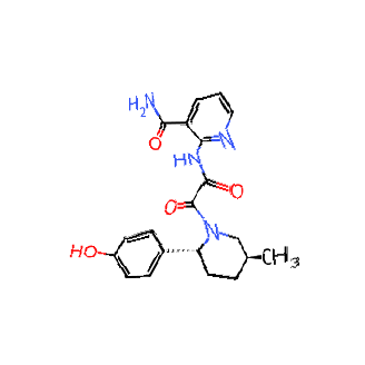 C[C@H]1CC[C@H](c2ccc(O)cc2)N(C(=O)C(=O)Nc2ncccc2C(N)=O)C1